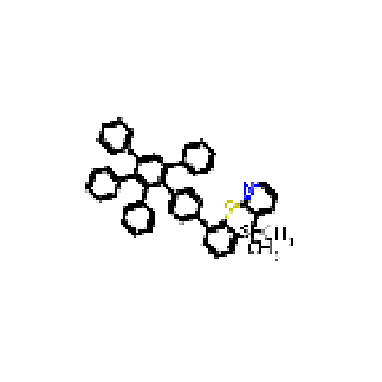 C[Si]1(C)c2cccnc2Sc2c(-c3ccc(-c4c(-c5ccccc5)cc(-c5ccccc5)c(-c5ccccc5)c4-c4ccccc4)cc3)cccc21